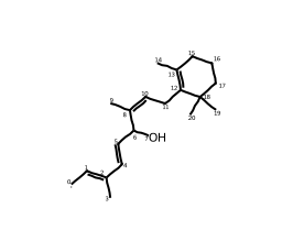 [CH2]C=C(C)C=CC(O)C(C)=CCC1=C(C)CCCC1(C)C